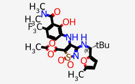 Cc1ccc([C@H](NC2=NS(=O)(=O)C(C3OC(C)O3)=C2Nc2ccc(C(F)(F)F)c(C(=O)N(C)C)c2O)C(C)(C)C)o1